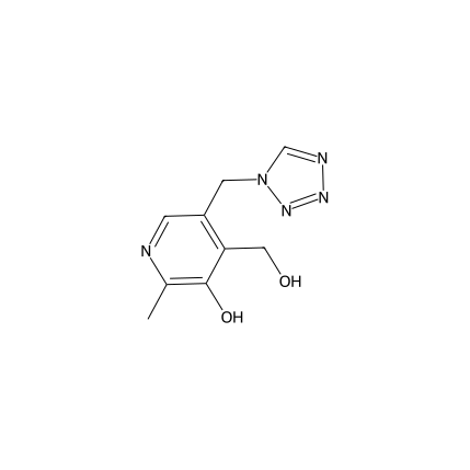 Cc1ncc(Cn2cnnn2)c(CO)c1O